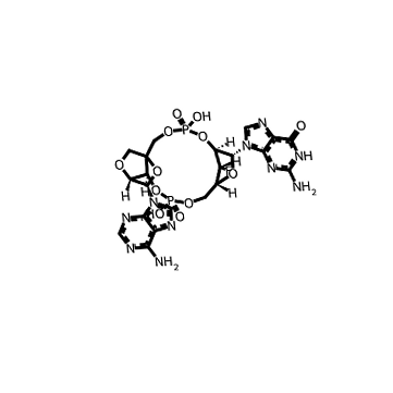 Nc1nc2c(ncn2[C@@H]2O[C@@H]3COP(=O)(O)O[C@H]4[C@H]5OCC4(COP(=O)(O)O[C@@H]2[C@@H]3F)O[C@H]5n2cnc3c(N)ncnc32)c(=O)[nH]1